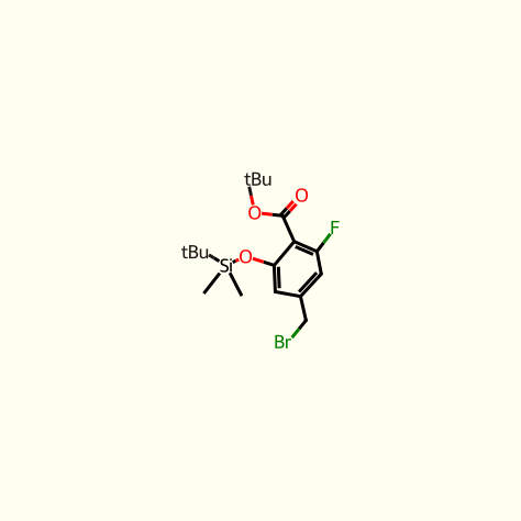 CC(C)(C)OC(=O)c1c(F)cc(CBr)cc1O[Si](C)(C)C(C)(C)C